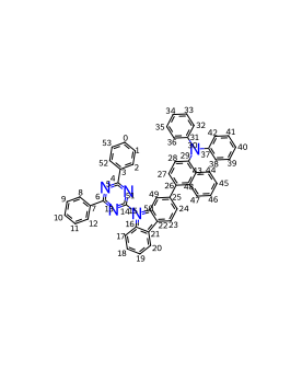 c1ccc(-c2nc(-c3ccccc3)nc(-n3c4ccccc4c4ccc(-c5ccc(N(c6ccccc6)c6ccccc6)c6ccccc56)cc43)n2)cc1